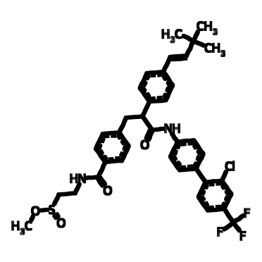 COS(=O)CCNC(=O)c1ccc(CC(C(=O)Nc2ccc(-c3ccc(C(F)(F)F)cc3Cl)cc2)c2ccc(/C=C/C(C)(C)C)cc2)cc1